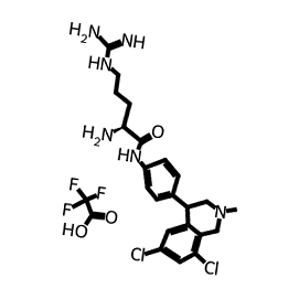 CN1Cc2c(Cl)cc(Cl)cc2C(c2ccc(NC(=O)[C@@H](N)CCCNC(=N)N)cc2)C1.O=C(O)C(F)(F)F